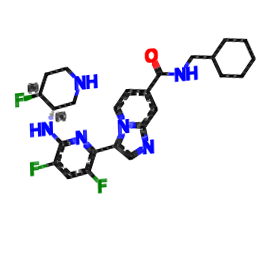 O=C(NCC1CCCCC1)c1ccn2c(-c3nc(N[C@H]4CNCC[C@@H]4F)c(F)cc3F)cnc2c1